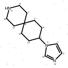 c1cn(C2CCC3(CCNCC3)CC2)cn1